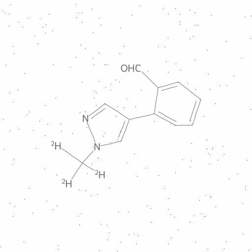 [2H]C([2H])([2H])n1cc(-c2ccccc2C=O)cn1